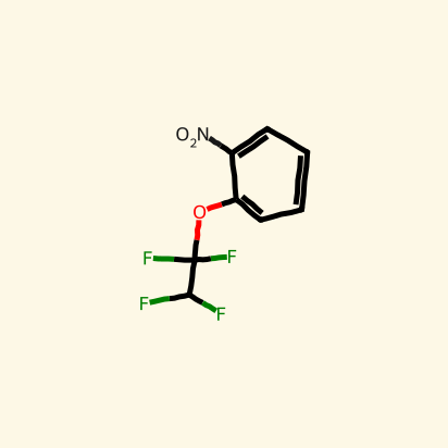 O=[N+]([O-])c1ccccc1OC(F)(F)C(F)F